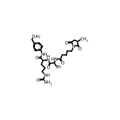 CC(=O)OCc1ccc(NC(=O)C(CCCNC(N)=O)NC(=O)C(NC(=O)CCCCN2C(=O)CC(C)C2=O)C(C)C)cc1